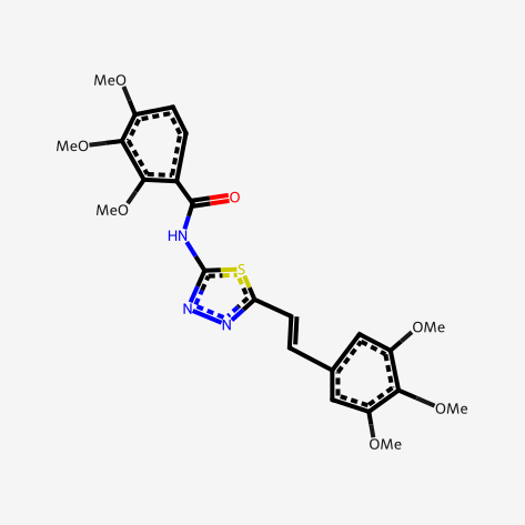 COc1cc(C=Cc2nnc(NC(=O)c3ccc(OC)c(OC)c3OC)s2)cc(OC)c1OC